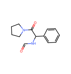 O=CNC(C(=O)N1CCCC1)c1ccccc1